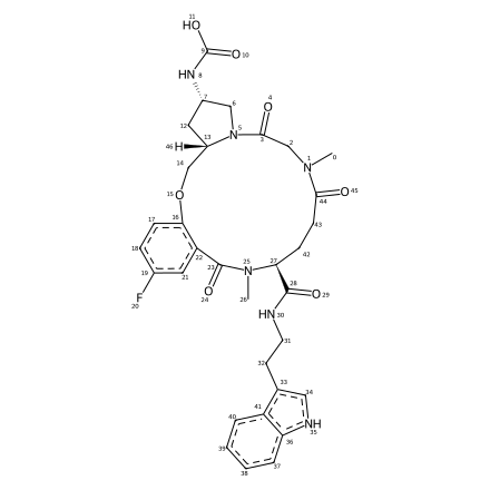 CN1CC(=O)N2C[C@@H](NC(=O)O)C[C@H]2COc2ccc(F)cc2C(=O)N(C)[C@H](C(=O)NCCc2c[nH]c3ccccc23)CCC1=O